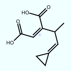 CC(C=C1CC1)/C(=C/C(=O)O)C(=O)O